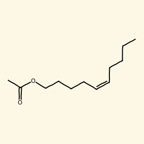 CCCC/C=C\CCCCOC(C)=O